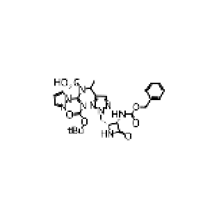 CC(c1cnn(C[C@H]2NC(=O)[C@H]2NC(=O)OCc2ccccc2)n1)N(C(=O)O)/C(=N/C(=O)OC(C)(C)C)n1cccn1